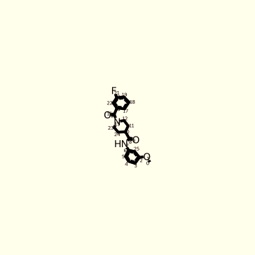 COc1cccc(NC(=O)C2CCN(C(=O)c3cccc(F)c3)CC2)c1